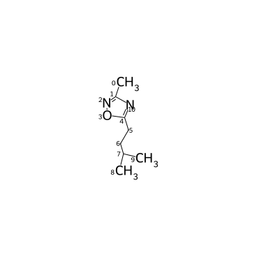 Cc1noc(CCC(C)C)n1